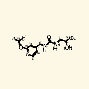 CC(C)(C)C(O)CNC(=O)NCc1ccnc(OC(F)F)c1